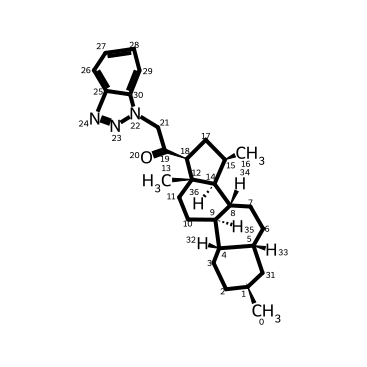 C[C@H]1CC[C@H]2[C@H](CC[C@@H]3[C@@H]2CC[C@@]2(C)[C@H]3[C@H](C)C[C@@H]2C(=O)Cn2nnc3ccccc32)C1